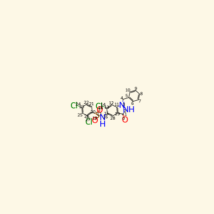 O=c1[nH]n(Cc2ccccc2)c2cc(Cl)c(NS(=O)(=O)c3ccc(Cl)cc3Cl)cc12